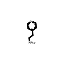 C[N]CCc1ccncc1